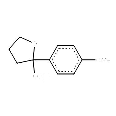 COc1ccc(C2(C(=O)O)CCCO2)cc1